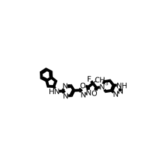 C[C@](F)(C(=O)N1CCc2[nH]nnc2C1)c1nnc(-c2cnc(NC3Cc4ccccc4C3)nc2)o1